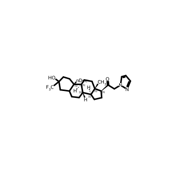 CCCCCCCCCC[C@]12CCC(O)(C(F)(F)F)CC1CC[C@@H]1[C@@H]2CC[C@]2(C)[C@@H](C(=O)Cn3cccn3)CC[C@@H]12